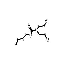 CCCCOC(=O)N(CCCl)CCCl